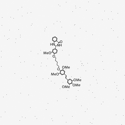 COc1cc(C2NC(=O)c3ccccc3N2)ccc1OCCCCCOc1c(OC)cc(C=Cc2cc(OC)c(OC)c(OC)c2)cc1OC